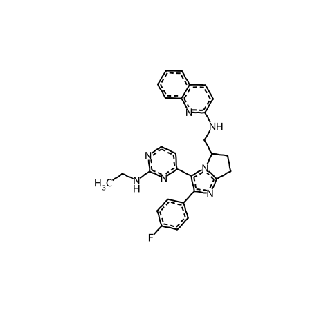 CCNc1nccc(-c2c(-c3ccc(F)cc3)nc3n2C(CNc2ccc4ccccc4n2)CC3)n1